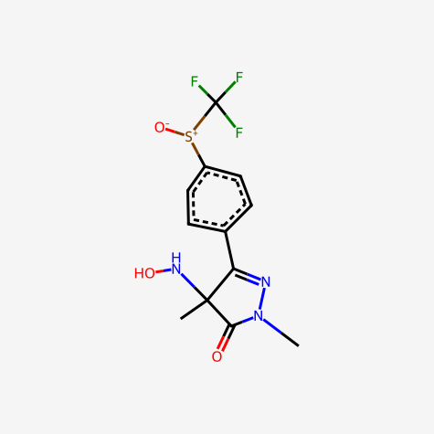 CN1N=C(c2ccc([S+]([O-])C(F)(F)F)cc2)C(C)(NO)C1=O